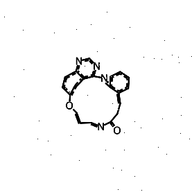 O=C1C/C=c2/cccc/c2=N\c2ncnc3ccc(cc23)O/C=C/C=N/1